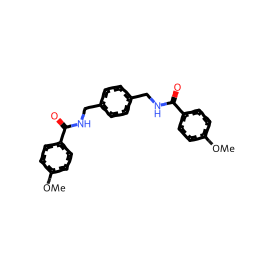 COc1ccc(C(=O)NCc2ccc(CNC(=O)c3ccc(OC)cc3)cc2)cc1